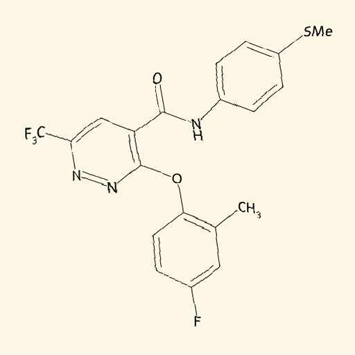 CSc1ccc(NC(=O)c2cc(C(F)(F)F)nnc2Oc2ccc(F)cc2C)cc1